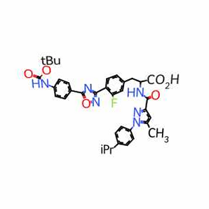 Cc1cc(C(=O)NC(Cc2ccc(-c3noc(-c4ccc(NC(=O)OC(C)(C)C)cc4)n3)c(F)c2)C(=O)O)nn1-c1ccc(C(C)C)cc1